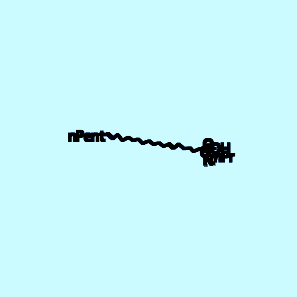 CCCCCC=CCCCCCCCCCCC=CCCCCCOP(=O)(O)C(CCC)[N+](C)(C)C